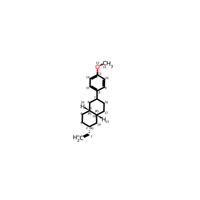 C=C[C@@H]1CC[C@@H]2CC(c3ccc(OC)cc3)CC[C@@H]2C1